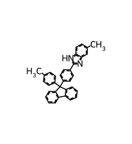 Cc1ccc(C2(c3ccc(-c4nc5cc(C)ccc5[nH]4)cc3)c3ccccc3-c3ccccc32)cc1